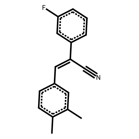 Cc1ccc(C=C(C#N)c2cccc(F)c2)cc1C